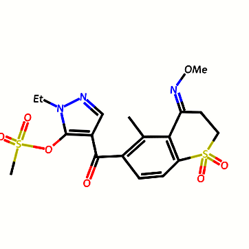 CCn1ncc(C(=O)c2ccc3c(c2C)C(=NOC)CCS3(=O)=O)c1OS(C)(=O)=O